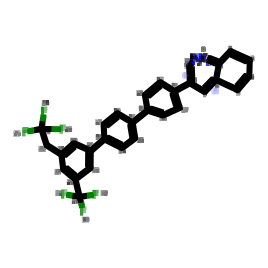 C=c1cccc/c1=C/C(=C\N)c1ccc(-c2ccc(-c3cc(CC(F)(F)F)cc(C(F)(F)F)c3)cc2)cc1